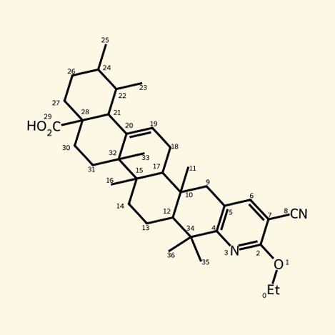 CCOc1nc2c(cc1C#N)CC1(C)C(CCC3(C)C1CC=C1C4C(C)C(C)CCC4(C(=O)O)CCC13C)C2(C)C